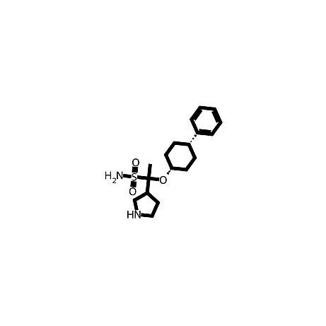 CC(O[C@H]1CC[C@@H](c2ccccc2)CC1)(C1CCNC1)S(N)(=O)=O